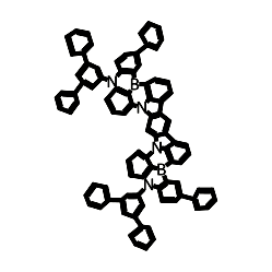 c1ccc(-c2cc(-c3ccccc3)cc(N3c4ccc(-c5ccccc5)cc4B4c5c3cccc5-n3c5cc6c(cc5c5cccc4c53)c3cccc4c3n6-c3cccc5c3B4c3cc(-c4ccccc4)ccc3N5c3cc(-c4ccccc4)cc(-c4ccccc4)c3)c2)cc1